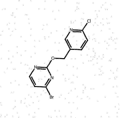 Clc1ccc(COc2nccc(Br)n2)cn1